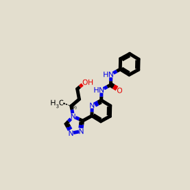 C[C@H](CCO)n1cnnc1-c1cccc(NC(=O)Nc2ccccc2)n1